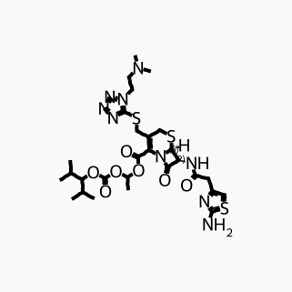 CC(OC(=O)OC(C(C)C)C(C)C)OC(=O)C1=C(CSc2nnnn2CCN(C)C)CS[C@H]2[C@H](NC(=O)Cc3csc(N)n3)C(=O)N12